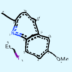 CCI.COc1ccc2nc(C)ccc2c1